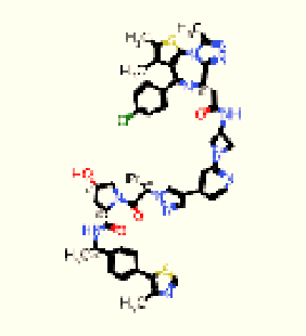 Cc1ncsc1-c1ccc([C@H](C)NC(=O)[C@@H]2C[C@@H](O)CN2C(=O)[C@@H](C(C)C)n2cc(-c3ccnc(N4CC(NC(=O)C[C@@H]5N=C(c6ccc(Cl)cc6)c6c(sc(C)c6C)-n6c(C)nnc65)C4)c3)cn2)cc1